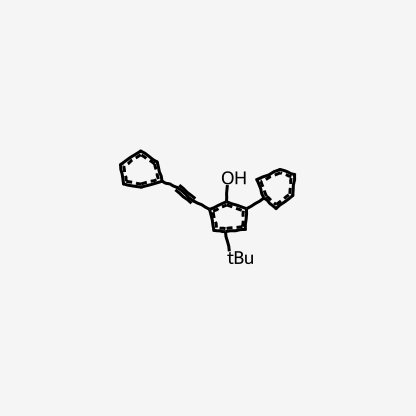 CC(C)(C)c1cc(C#Cc2ccccc2)c(O)c(-c2ccccc2)c1